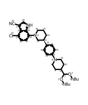 CCCCOC(OCCCC)C1CCN(c2ccc([C@@H]3CCCN(c4ccc(Cl)c5c(C#N)c[nH]c45)C3)cc2)CC1